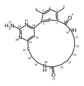 Cc1cc(C)c2cc1C(=O)NCCCCCC(=O)NCCSc1cc-2nc(N)n1